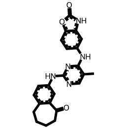 Cc1cnc(Nc2ccc3c(c2)C(=O)CCCC3)nc1Nc1ccc2oc(=O)[nH]c2c1